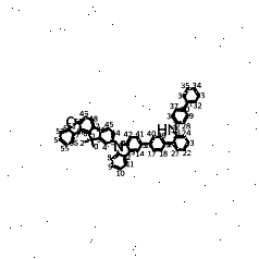 CC1(C)c2cc(-n3c4ccccc4c4cc(-c5ccc(-c6ccccc6Nc6ccc(-c7ccccc7)cc6)cc5)ccc43)ccc2-c2ccc3oc4ccccc4c3c21